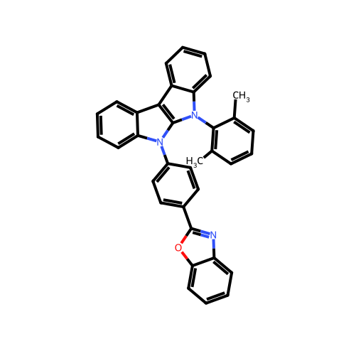 Cc1cccc(C)c1-n1c2ccccc2c2c3ccccc3n(-c3ccc(-c4nc5ccccc5o4)cc3)c21